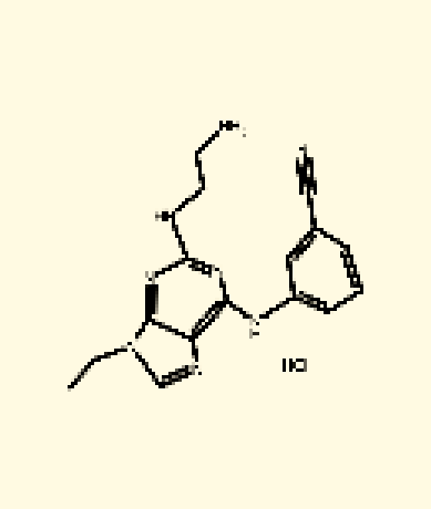 CCn1cnc2c(Nc3cccc(C#N)c3)nc(NCCN)nc21.Cl